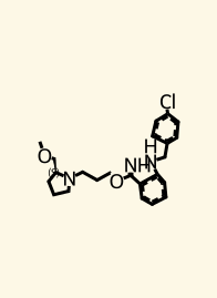 COC[C@@H]1CCCN1CCCOC(=N)c1ccccc1NCc1ccc(Cl)cc1